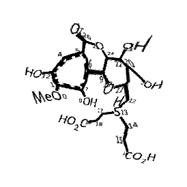 COc1c(O)cc2c(c1O)C1OC(C[SH](CCC(=O)O)CCC(=O)O)C(O)C(O)C1OC2=O